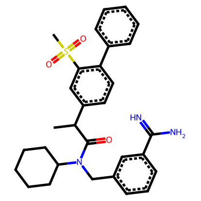 CC(C(=O)N(Cc1cccc(C(=N)N)c1)C1CCCCC1)c1ccc(-c2ccccc2)c(S(C)(=O)=O)c1